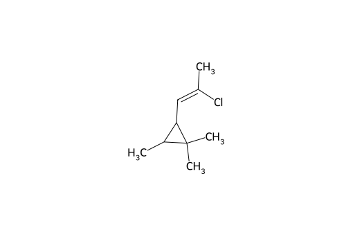 C/C(Cl)=C/C1C(C)C1(C)C